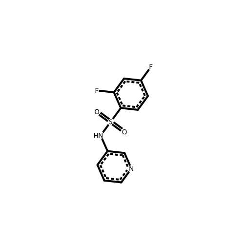 O=S(=O)(Nc1cccnc1)c1ccc(F)cc1F